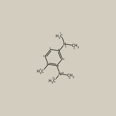 Cc1ccc(N(C)C)cc1N(C)C